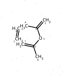 C=C.C=C(C)OC(=C)C